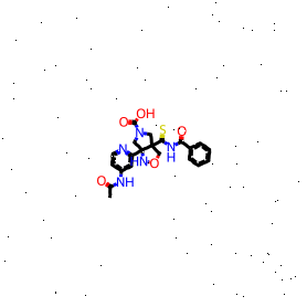 CC(=O)Nc1ccnc(C23CN(C(=O)O)CC2(C(=S)NC(=O)c2ccccc2)CON3)c1